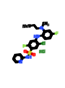 CNCCN(C)c1cc(F)ccc1Nc1cc(F)c(S(=O)(=O)Nc2ccccn2)cc1Cl.Cl